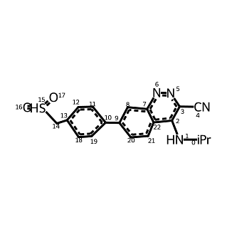 CC(C)Nc1c(C#N)nnc2cc(-c3ccc(C[SH](=O)=O)cc3)ccc12